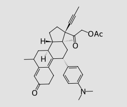 CC#C[C@]1(C(=O)COC(C)=O)CC[C@H]2[C@@H]3CC(C)C4=CC(=O)CCC4=C3[C@@H](c3ccc(N(C)C)cc3)C[C@@]21C